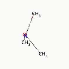 CCCCCCCCCCCCCCCCCCCCCCCCCCC(=O)N(CCCCCCCC)CCCCCCCCCCCCCCCCCCCCCCCCCC